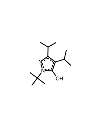 CC(C)c1nn(C(C)(C)C)c(O)c1C(C)C